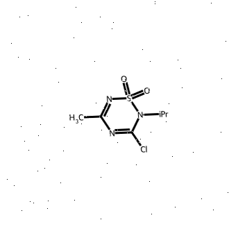 CC1=NS(=O)(=O)N(C(C)C)C(Cl)=N1